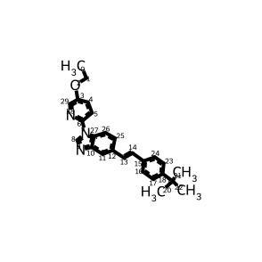 CCOc1ccc(-n2cnc3cc(/C=C/c4ccc(C(C)(C)C)cc4)ccc32)nc1